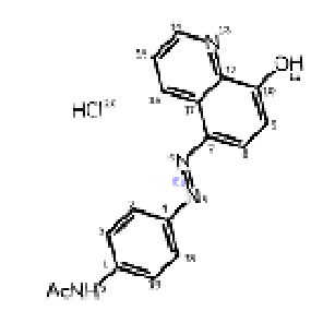 CC(=O)Nc1ccc(/N=N/c2ccc(O)c3ncccc23)cc1.Cl